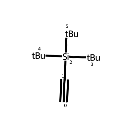 [C]#C[Si](C(C)(C)C)(C(C)(C)C)C(C)(C)C